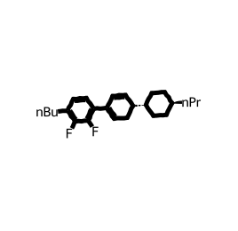 CCCCc1ccc(C2=CCC([C@H]3CC[C@H](CCC)CC3)C=C2)c(F)c1F